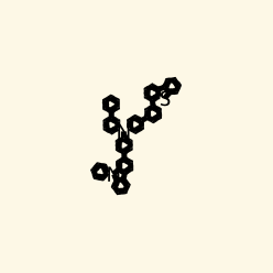 c1ccc(-c2cccc(N(c3ccc(-c4cccc(-c5cccc6c5sc5ccccc56)c4)cc3)c3ccc(-c4ccc5c6ccccc6n(-c6ccccc6)c5c4)cc3)c2)cc1